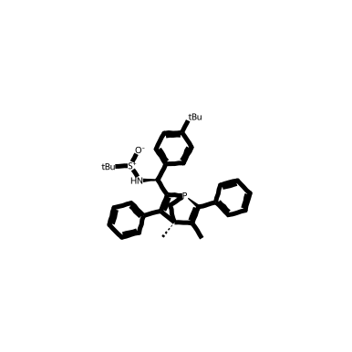 CC1=C(c2ccccc2)[P@@]2C[C@]1(C)C(c1ccccc1)=C2[C@@H](N[S+]([O-])C(C)(C)C)c1ccc(C(C)(C)C)cc1